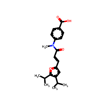 CC(C)c1cc(/C=C/C(=O)N(C)c2ccc(C(=O)O)cc2)oc1C(C)C